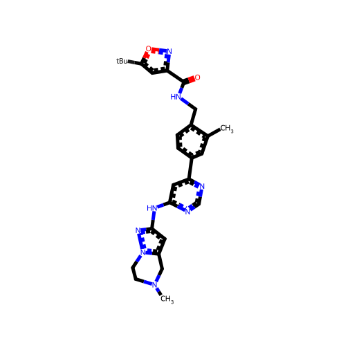 Cc1cc(-c2cc(Nc3cc4n(n3)CCN(C)C4)ncn2)ccc1CNC(=O)c1cc(C(C)(C)C)on1